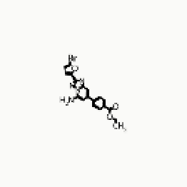 CCOC(=O)c1ccc(-c2cc(N)n3nc(-c4ccc(Br)o4)nc3c2)cc1